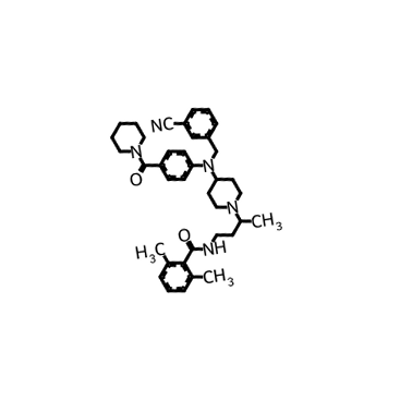 Cc1cccc(C)c1C(=O)NCCC(C)N1CCC(N(Cc2cccc(C#N)c2)c2ccc(C(=O)N3CCCCC3)cc2)CC1